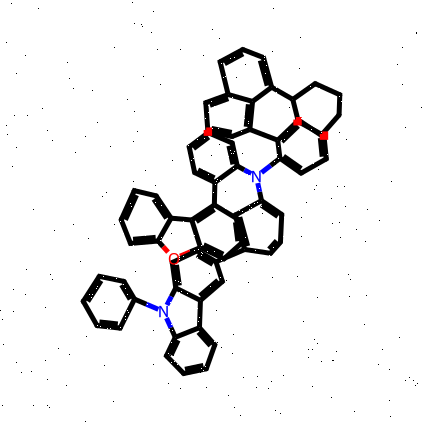 c1ccc(-n2c3ccccc3c3cc(-c4cccc(N(c5ccccc5-c5cccc6cccc(C7CCCCC7)c56)c5ccccc5-c5cccc6oc7ccccc7c56)c4)ccc32)cc1